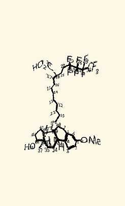 COc1ccc2c(c1)C[C@@H](CCCCCCCCC[C@H](CCC(F)(F)C(F)(F)C(F)(F)C(F)(F)F)C(=O)O)[C@@H]1[C@@H]2CC[C@]2(C)[C@@H](O)CC[C@@H]12